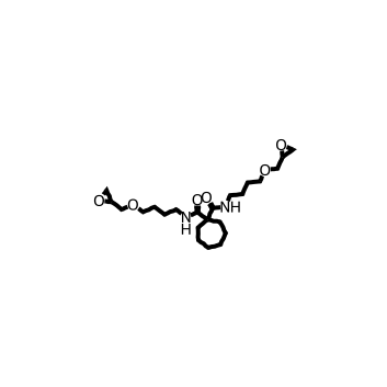 O=C(NCCCCOCC1CO1)C1(C(=O)NCCCCOCC2CO2)CCCCCC1